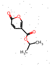 CC(C)OC(=O)c1ccc(=O)oc1